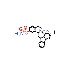 NS(=O)(=O)Oc1ccc2c(c1)C(CC1c3ccccc3-c3ccccc31)N(C(=O)O)CC2